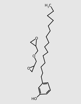 C(OCC1CO1)C1CO1.CCCCCCCCCCCCCCCc1cccc(O)c1